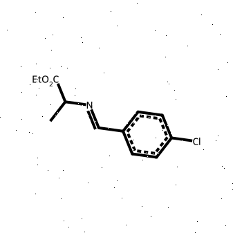 CCOC(=O)C(C)N=Cc1ccc(Cl)cc1